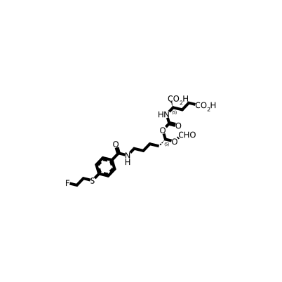 O=CO[C@H](CCCCNC(=O)c1ccc(SCCF)cc1)OC(=O)N[C@@H](CCC(=O)O)C(=O)O